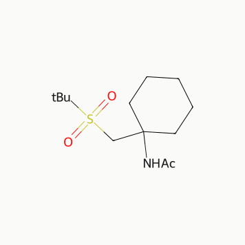 CC(=O)NC1(CS(=O)(=O)C(C)(C)C)CCCCC1